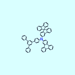 c1ccc(-c2cc(-c3ccccc3)cc(-c3ccc(N(c4ccc5c(c4)-c4ccccc4C54c5ccccc5-c5ccccc54)c4ccc5c6ccccc6c6ccccc6c5c4)cc3)c2)cc1